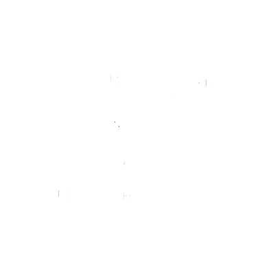 C=C\C(Br)=C/N=C(C)\C=C\C